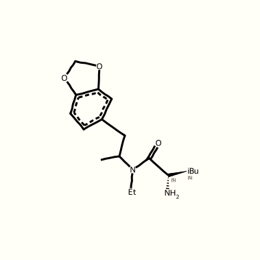 CC[C@H](C)[C@H](N)C(=O)N(CC)C(C)Cc1ccc2c(c1)OCO2